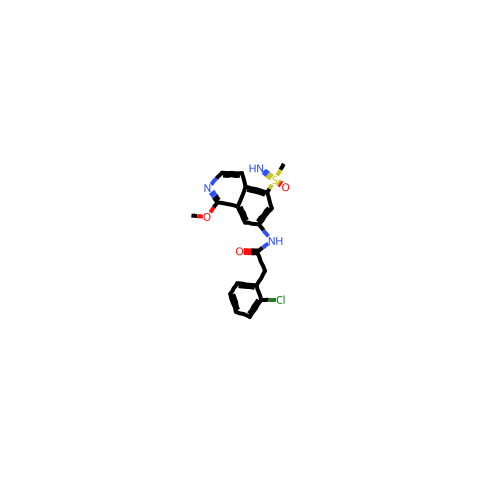 COc1nccc2c(S(C)(=N)=O)cc(NC(=O)Cc3ccccc3Cl)cc12